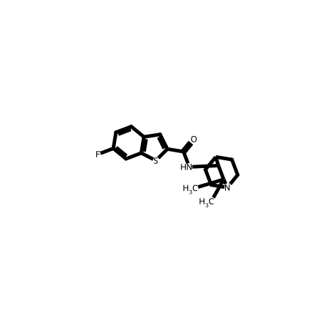 CC1(C)C(NC(=O)c2cc3ccc(F)cc3s2)C2CCN1CC2